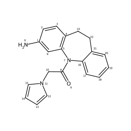 Nc1ccc2c(c1)N(C(=O)Cn1cccc1)c1ccccc1CC2